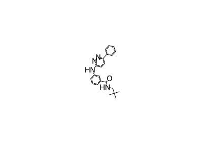 CC(C)(C)CNC(=O)c1cccc(Nc2ccc(-c3ccccc3)nn2)c1